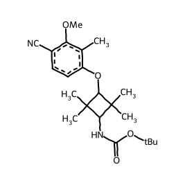 COc1c(C#N)ccc(OC2C(C)(C)C(NC(=O)OC(C)(C)C)C2(C)C)c1C